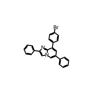 Brc1ccc(-c2cc(-c3ccccc3)cn3cc(-c4ccccc4)nc23)cc1